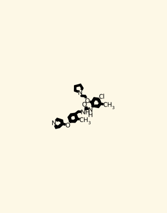 Cc1cc(NC(=O)NCc2ccc(Oc3ccncc3)cc2C)c(OCCN2CCCC2)cc1Cl